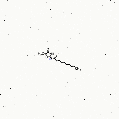 CCCCCCCCCC(=O)/C=C1\NC(=O)[C@H](C)O1